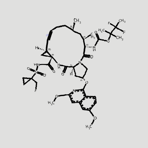 COc1ccc2c(O[C@@H]3C[C@H]4C(=O)N[C@]5(C(=O)NS(=O)(=O)C6(CF)CC6)C[C@H]5/C=C\CC[C@@H](C)C[C@@H](C)[C@H](NC(=O)OC(C)(C)C(C)(F)F)C(=O)N4C3)nc(OC)cc2c1